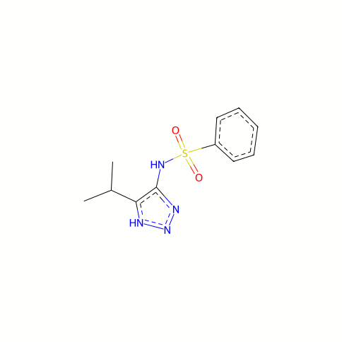 CC(C)c1[nH]nnc1NS(=O)(=O)c1ccccc1